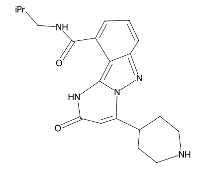 CC(C)CNC(=O)c1cccc2nn3c(C4CCNCC4)cc(=O)[nH]c3c12